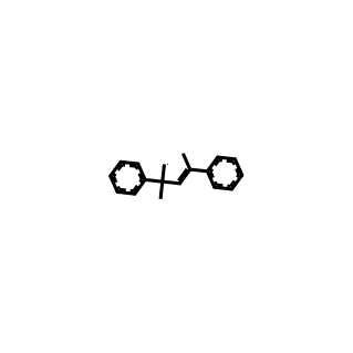 [CH2]C(C)(C=C(C)c1ccccc1)c1ccccc1